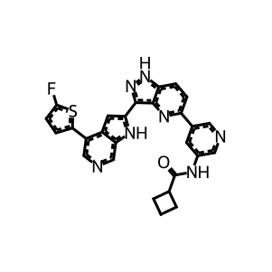 O=C(Nc1cncc(-c2ccc3[nH]nc(-c4cc5c(-c6ccc(F)s6)cncc5[nH]4)c3n2)c1)C1CCC1